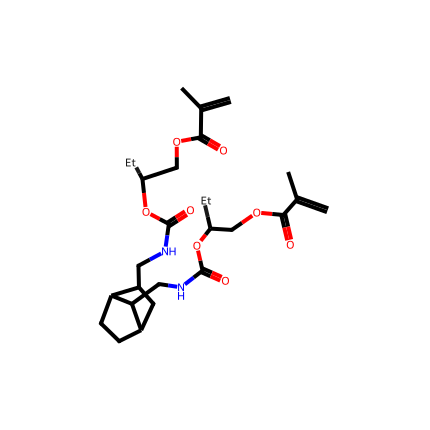 C=C(C)C(=O)OCC(CC)OC(=O)NCC1CC2CCC1C2CNC(=O)OC(CC)COC(=O)C(=C)C